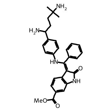 COC(=O)c1ccc2c(c1)NC(=O)C2=C(Nc1ccc(C(N)CCC(C)(C)N)cc1)c1ccccc1